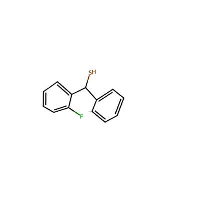 Fc1ccccc1C(S)c1[c]cccc1